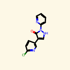 O=c1c(-c2ccc(Cl)nc2)c[nH]n1-c1ccccn1